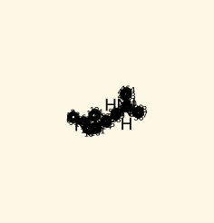 C1=CCCC(c2cc(C3C=CC=CC3)c3c(n2)CCc2ccc(-c4ccc(-c5ccc(C6NC(c7ccccc7)=NC(c7ccccc7)N6)cc5)cc4)cc2-3)=C1